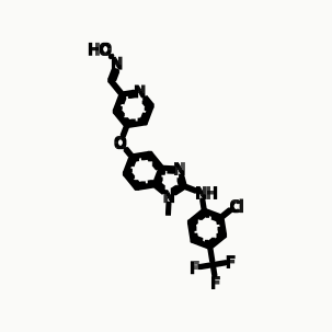 Cn1c(Nc2ccc(C(F)(F)F)cc2Cl)nc2cc(Oc3ccnc(C=NO)c3)ccc21